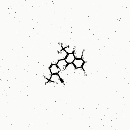 [2H]C([2H])([2H])C1=C(Cc2ccc(C(F)(F)F)c(C#N)n2)C(=O)c2cc(F)cc(F)c2C1=O